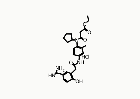 CCOC(=O)CC(=O)N(c1ccc(NC(=O)Cc2cc(C(=N)N)ccc2O)cc1C)C1CCCC1.Cl